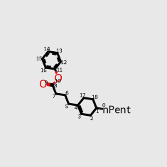 CCCCCC1CC=C(CCCC(=O)Oc2ccccc2)CC1